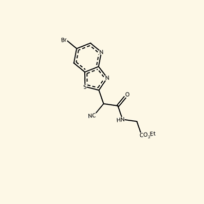 CCOC(=O)CNC(=O)C(C#N)c1nc2ncc(Br)cc2s1